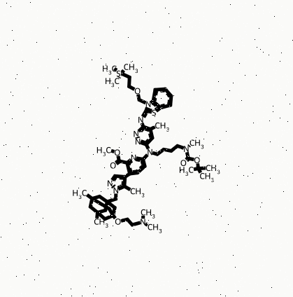 COC(=O)c1nc(N(CCCCN(C)C(=O)OC(C)(C)C)c2cc(C)c(/N=c3\sc4ccccc4n3COCC[Si](C)(C)C)nn2)ccc1-c1cnn(CC23CC4(C)CC(C)(C2)CC(OCCN(C)C)(C4)C3)c1C